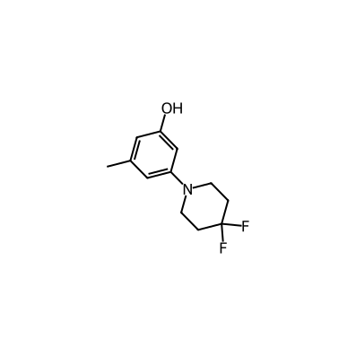 Cc1cc(O)cc(N2CCC(F)(F)CC2)c1